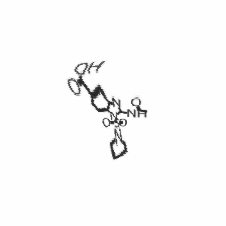 CC(=O)NC1N=C2C=C(C(=O)O)CC=C2N1S(=O)(=O)N1CCCC1